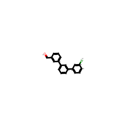 O=Cc1cccc(-c2cccc(-c3cccc(Br)c3)c2)c1